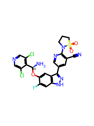 N#Cc1cc(-c2n[nH]c3cc(F)c(O[C@H](N)c4c(Cl)cncc4Cl)cc23)cnc1N1CCCS1(=O)=O